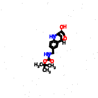 CC(C)(C)OC(=O)NCc1ccc2c(c1)[C@H]1CC(N2)[C@H](O)CO1